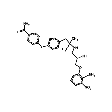 CC(C)(Cc1ccc(Oc2ccc(C(N)=O)cc2)cc1)NC[C@H](O)COc1cccc([N+](=O)[O-])c1N